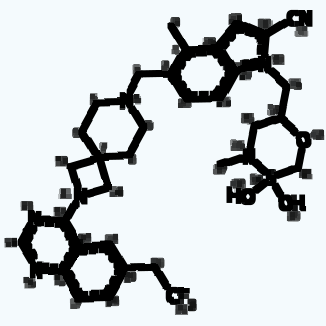 Cc1c(CN2CCC3(CC2)CN(c2ncnc4ccc(CC(F)(F)F)cc24)C3)ccc2c1cc(C#N)n2CC1CN(C)S(O)(O)CO1